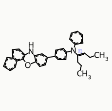 CC/C=C(\CCC)N(c1ccccc1)c1ccc(-c2ccc3c(c2)Nc2ccc4ccccc4c2O3)cc1